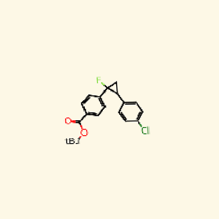 CC(C)(C)OC(=O)c1ccc(C2(F)CC2c2ccc(Cl)cc2)cc1